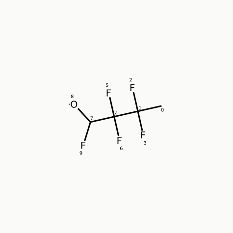 CC(F)(F)C(F)(F)C([O])F